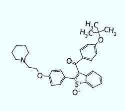 CC(C)(C)Oc1ccc(C(=O)c2c(-c3ccc(OCCN4CCCCC4)cc3)[s+]([O-])c3ccccc23)cc1